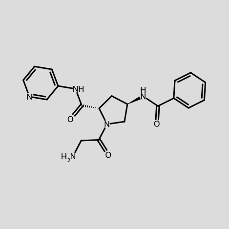 NCC(=O)N1C[C@H](NC(=O)c2ccccc2)C[C@H]1C(=O)Nc1cccnc1